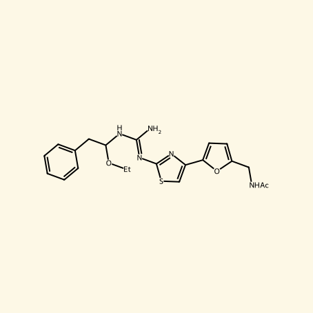 CCOC(Cc1ccccc1)NC(N)=Nc1nc(-c2ccc(CNC(C)=O)o2)cs1